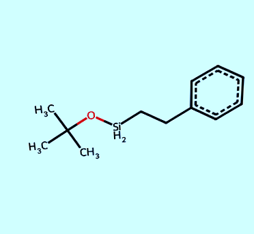 CC(C)(C)O[SiH2]CCc1ccccc1